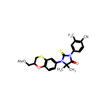 COCC1CSc2cc(N3C(=S)N(c4ccc(C#N)c(C(F)(F)F)c4)C(=O)C3(C)C)ccc2O1